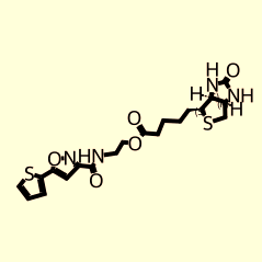 O=C1N[C@H]2[C@H](CS[C@H]2CCCCC(=O)OCCNC(=O)c2cc(-c3cccs3)on2)N1